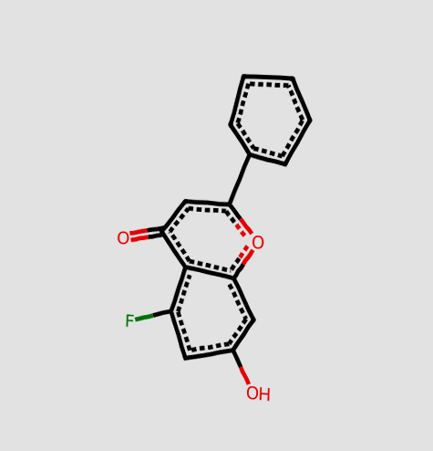 O=c1cc(-c2ccccc2)oc2cc(O)cc(F)c12